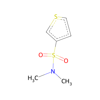 CN(C)S(=O)(=O)c1ccsc1